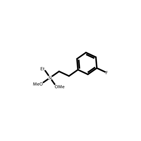 CC[Si](CCc1cccc(F)c1)(OC)OC